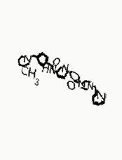 CC1CCCN(Cc2ccc(C(=O)Nc3ccc(OC(=O)N4CCN(Cc5ccccn5)CC4)nc3)cc2)C1